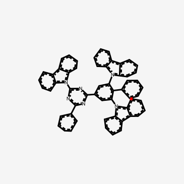 c1ccc(-c2nc(-c3cc(-n4c5ccccc5c5ccccc54)c(-c4ccccc4)c(-n4c5ccccc5c5ccccc54)c3)nc(-n3c4ccccc4c4ccccc43)n2)cc1